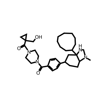 CN1CNC2(C3CCCCCCCC3)CC(c3ccc(C(=O)N4CCN(C(=O)C5(CO)CC5)CC4)cc3)CCC12